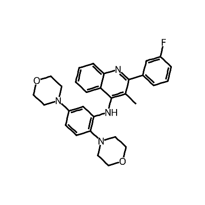 Cc1c(-c2cccc(F)c2)nc2ccccc2c1Nc1cc(N2CCOCC2)ccc1N1CCOCC1